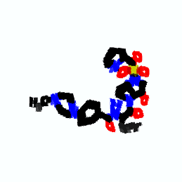 CCCC(NC(=O)c1ccc(N2CCN(C)CC2)cc1)C(=O)N1CCC2C1C(=O)CN2S(=O)(=O)C(=O)c1ccccn1